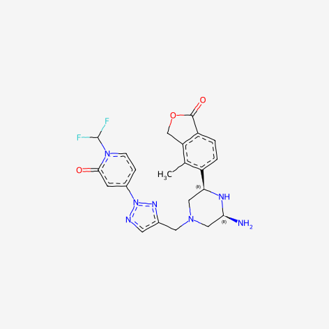 Cc1c([C@@H]2CN(Cc3cnn(-c4ccn(C(F)F)c(=O)c4)n3)C[C@H](N)N2)ccc2c1COC2=O